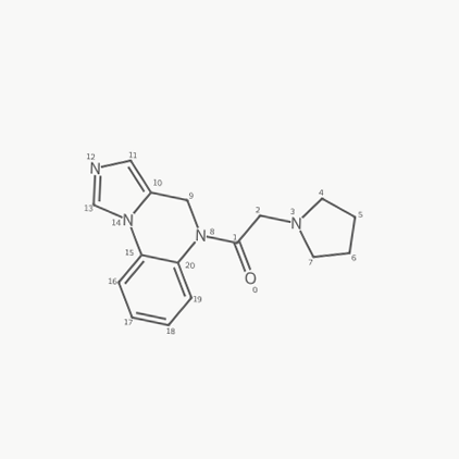 O=C(CN1CCCC1)N1Cc2cncn2-c2ccccc21